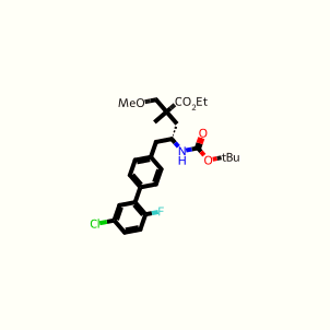 CCOC(=O)C(C)(COC)C[C@@H](Cc1ccc(-c2cc(Cl)ccc2F)cc1)NC(=O)OC(C)(C)C